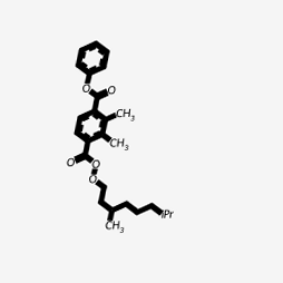 Cc1c(C(=O)OOCCC(C)CCCC(C)C)ccc(C(=O)Oc2ccccc2)c1C